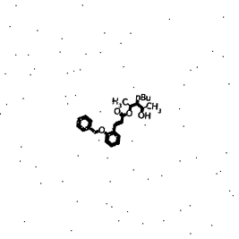 CCCCC([C@H](C)O)[C@@H](C)OC(=O)C=Cc1ccccc1OCc1ccccc1